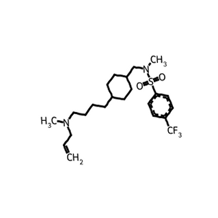 C=CCN(C)CCCCC1CCC(CN(C)S(=O)(=O)c2ccc(C(F)(F)F)cc2)CC1